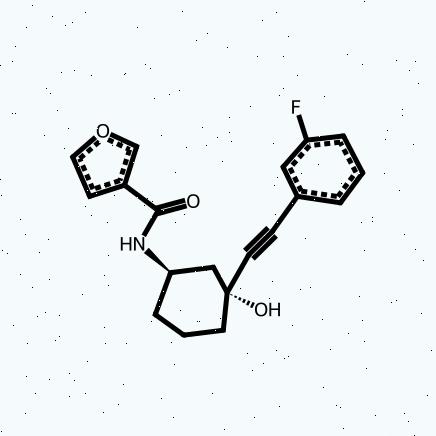 O=C(N[C@@H]1CCC[C@](O)(C#Cc2cccc(F)c2)C1)c1ccoc1